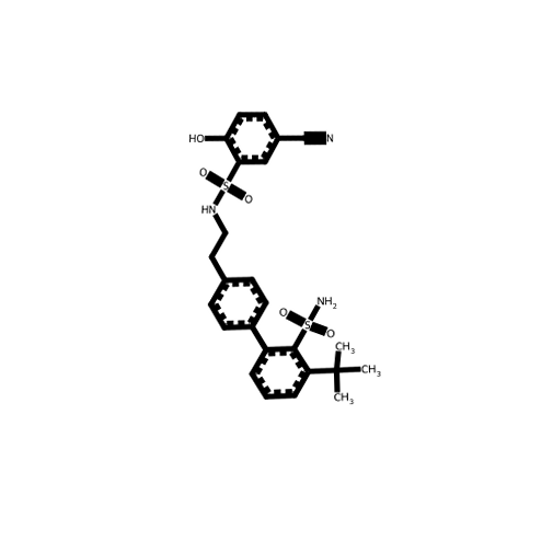 CC(C)(C)c1cccc(-c2ccc(CCNS(=O)(=O)c3cc(C#N)ccc3O)cc2)c1S(N)(=O)=O